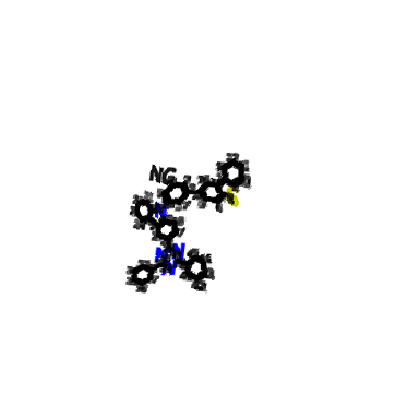 N#Cc1cc(-c2ccc3sc4ccccc4c3c2)cc(-n2c3ccccc3c3cc(-c4nc(-c5ccccc5)nc(-c5ccccc5)n4)ccc32)c1